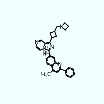 Cc1cc(-c2ccccc2)nc2cc(C3=NC(C4CC(CN5CCC5)C4)=C4C=NC=C[N+]34N)ccc12